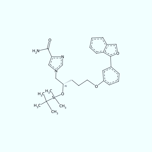 CC(C)(C)[Si](C)(C)O[C@@H](CCCOc1cccc(-c2occ3ccccc23)c1)Cn1cnc(C(N)=O)c1